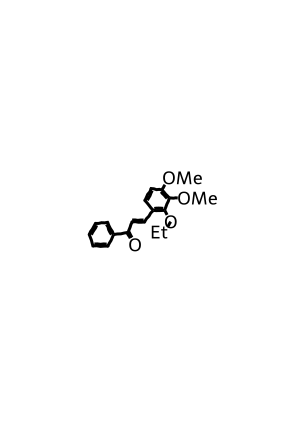 CCOc1c(C=CC(=O)c2ccccc2)ccc(OC)c1OC